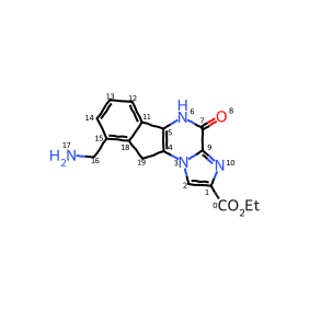 CCOC(=O)c1cn2c3c([nH]c(=O)c2n1)-c1cccc(CN)c1C3